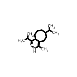 CC1=C2CCC(C(C)C)CCCC2C(C(C)C)=NN1